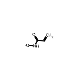 C=CC(=O)N[O]